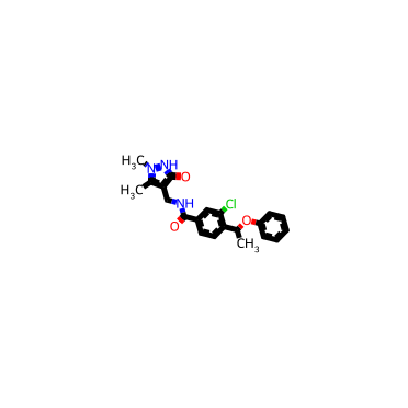 Cc1c(CNC(=O)c2ccc(C(C)Oc3ccccc3)c(Cl)c2)c(=O)[nH]n1C